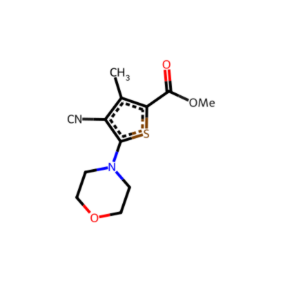 [C-]#[N+]c1c(N2CCOCC2)sc(C(=O)OC)c1C